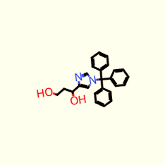 OCCC(O)c1cn(C(c2ccccc2)(c2ccccc2)c2ccccc2)cn1